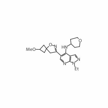 CCn1ncc2c(NC3CCOCC3)c(C3=NOC4(C3)CC(OC)C4)cnc21